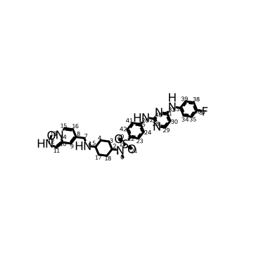 CN(C1CCC(NCC2=CC3=CNON3C=C2)CC1)S(=O)(=O)c1ccc(Nc2nccc(Nc3ccc(F)cc3)n2)cc1